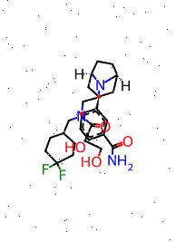 NC(=O)c1cccc([C@H]2C[C@H]3CC[C@@H](C2)N3CCN(CC2CCC(F)(F)CC2)C(=O)[C@H](O)CO)c1